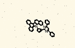 C1=C2C(C(n3c4c5ccccc5ccc4c4c5ccccc5c5ccccc5c43)=C1)C2c1nc(-c2ccccc2)cc(-c2ccccc2)n1